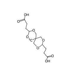 O=C(O)CCC1OCC2(CO1)COC(CCC(=O)O)O[9CH2]2